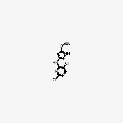 CCC(C)Oc1cc(Nc2nc(Cl)ncc2Cl)n[nH]1